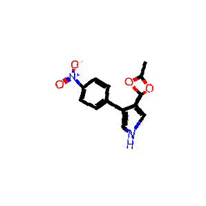 CC1OC(c2c[nH]cc2-c2ccc([N+](=O)[O-])cc2)O1